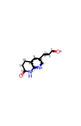 O=C/C=C/c1cnc2c(c1)CCC(=O)N2